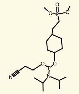 COP(=O)(CCC1CCC(OP(OCCC#N)N(C(C)C)C(C)C)CC1)OC